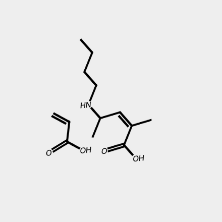 C=CC(=O)O.CCCCNC(C)C=C(C)C(=O)O